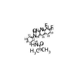 CC(C)C(=O)NCc1ccccc1NCc1cc2ccc(F)c(F)c2nc1Cl